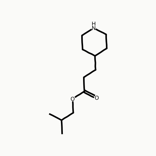 CC(C)COC(=O)CCC1CCNCC1